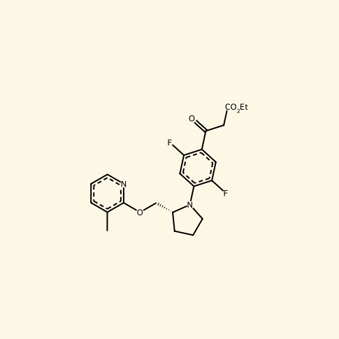 CCOC(=O)CC(=O)c1cc(F)c(N2CCC[C@@H]2COc2ncccc2C)cc1F